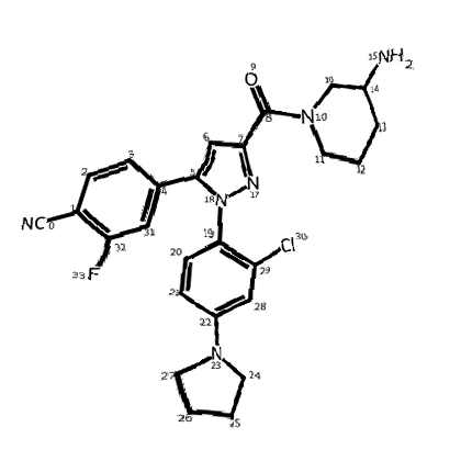 N#Cc1ccc(-c2cc(C(=O)N3CCCC(N)C3)nn2-c2ccc(N3CCCC3)cc2Cl)cc1F